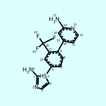 NC1=NC=C[SH]1c1ccc(-c2ccnc(N)c2)c(C(F)(F)F)c1